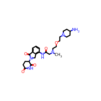 CN(CCOCCN1CCC(N)CC1)CC(=O)Nc1cccc2c1CN(C1CCC(=O)NC1=O)C2=O